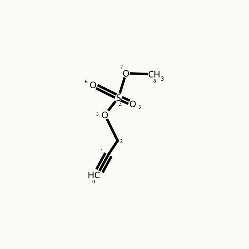 C#CCOS(=O)(=O)OC